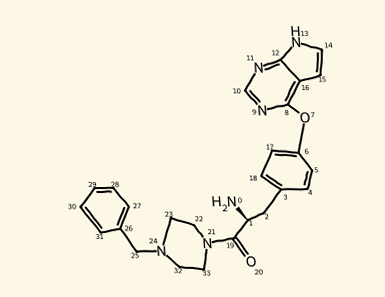 N[C@@H](Cc1ccc(Oc2ncnc3[nH]ccc23)cc1)C(=O)N1CCN(Cc2ccccc2)CC1